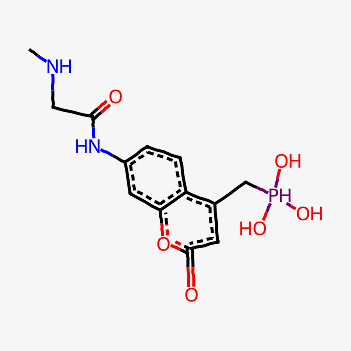 CNCC(=O)Nc1ccc2c(C[PH](O)(O)O)cc(=O)oc2c1